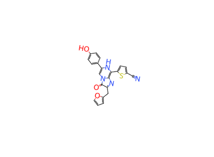 N#Cc1ccc(-c2[nH]c(-c3ccc(O)cc3)cn3c(=O)c(Cc4ccco4)nc2-3)s1